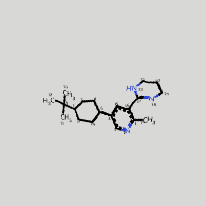 Cc1ncc(C2CCC(C(C)(C)C)CC2)cc1C1=NCCCN1